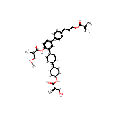 C=C(C)C(=O)OCCCc1ccc(-c2ccc(OC(=O)C(C)COC)c(C3CCC(C4CCC(OC(=O)C(=C)CO)CC4)CC3)c2)cc1